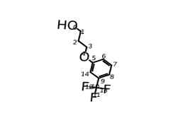 OCCCOc1cccc(C(F)(F)F)c1